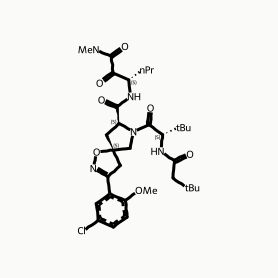 CCC[C@H](NC(=O)[C@@H]1C[C@]2(CC(c3cc(Cl)ccc3OC)=NO2)CN1C(=O)[C@@H](NC(=O)CC(C)(C)C)C(C)(C)C)C(=O)C(=O)NC